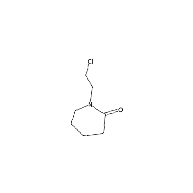 O=C1CCCCN1CCCl